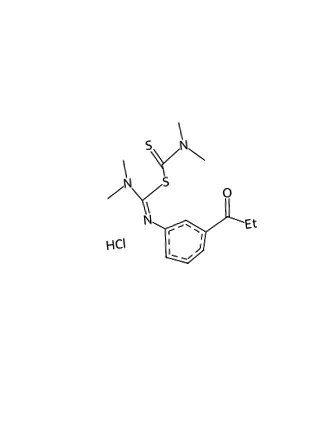 CCC(=O)c1cccc(N=C(SC(=S)N(C)C)N(C)C)c1.Cl